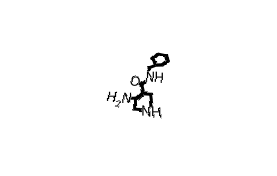 NC1=C(C(=O)NCc2ccccc2)CCNC1